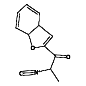 [C-]#[N+]C(C)C(=O)C1=CC2C=CC=CC2O1